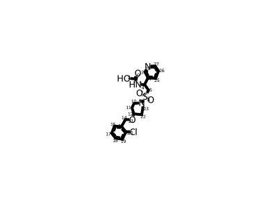 O=C(O)NC(CS(=O)(=O)N1CCC(OCc2ccccc2Cl)CC1)c1cccnc1